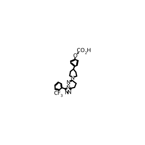 O=C(O)COc1ccc(C2CCN(C3=Nn4c(nnc4-c4ccccc4C(F)(F)F)CC3)CC2)cc1